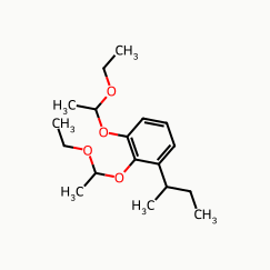 CCOC(C)Oc1cccc(C(C)CC)c1OC(C)OCC